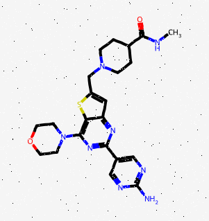 CNC(=O)C1CCN(Cc2cc3nc(-c4cnc(N)nc4)nc(N4CCOCC4)c3s2)CC1